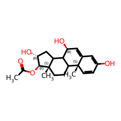 CC(=O)O[C@H]1[C@H](O)CC2C3C(CC[C@@]21C)[C@@]1(C)C=CC(O)=CC1=C[C@@H]3O